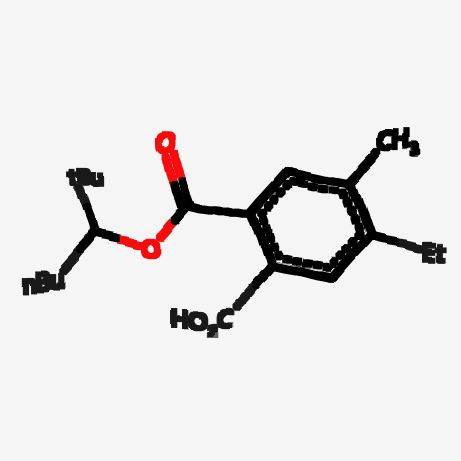 CCCCC(OC(=O)c1cc(C)c(CC)cc1C(=O)O)C(C)(C)C